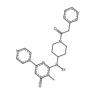 CCN(c1nc(-c2ccncc2)cc(=O)n1C)C1CCN(C(=O)Cc2ccccc2)CC1